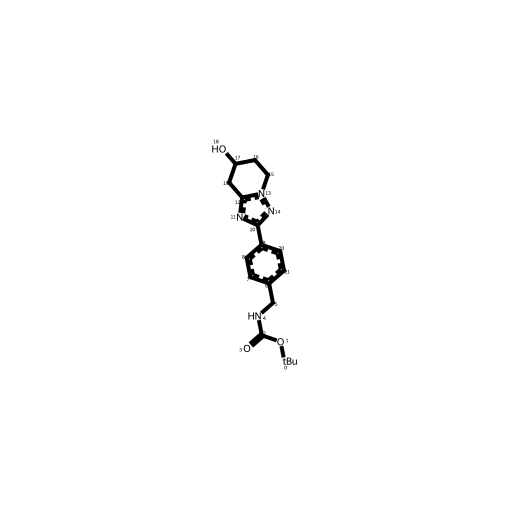 CC(C)(C)OC(=O)NCc1ccc(-c2nc3n(n2)CCC(O)C3)cc1